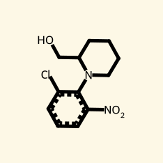 O=[N+]([O-])c1cccc(Cl)c1N1CCCCC1CO